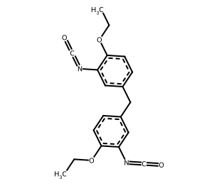 CCOc1ccc(Cc2ccc(OCC)c(N=C=O)c2)cc1N=C=O